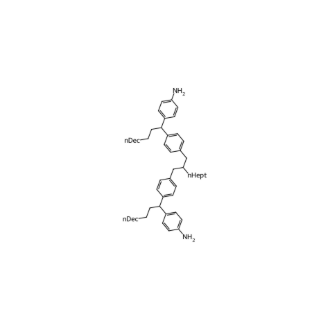 CCCCCCCCCCCCC(c1ccc(N)cc1)c1ccc(CC(CCCCCCC)Cc2ccc(C(CCCCCCCCCCCC)c3ccc(N)cc3)cc2)cc1